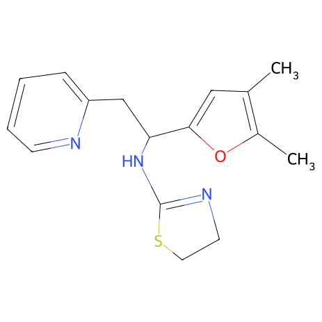 Cc1cc(C(Cc2ccccn2)NC2=NCCS2)oc1C